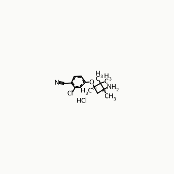 CC1(C)[C@](C)(Oc2ccc(C#N)c(Cl)c2)C[C@@]1(C)N.Cl